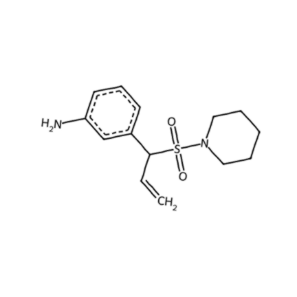 C=CC(c1cccc(N)c1)S(=O)(=O)N1CCCCC1